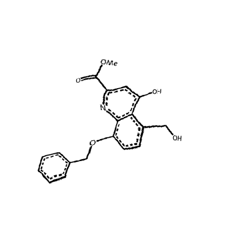 COC(=O)c1cc(O)c2c(CO)ccc(OCc3ccccc3)c2n1